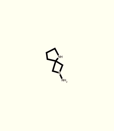 NN1CC2(CCCN2)C1